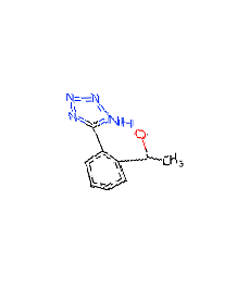 CC([O])c1ccccc1-c1nnn[nH]1